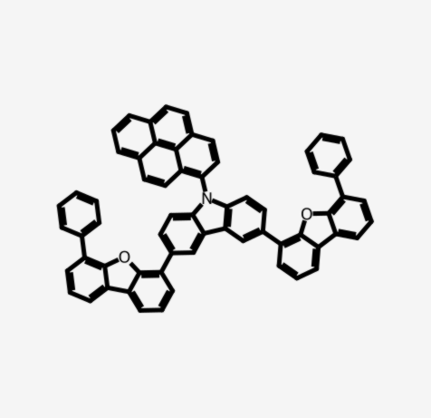 c1ccc(-c2cccc3c2oc2c(-c4ccc5c(c4)c4cc(-c6cccc7c6oc6c(-c8ccccc8)cccc67)ccc4n5-c4ccc5ccc6cccc7ccc4c5c67)cccc23)cc1